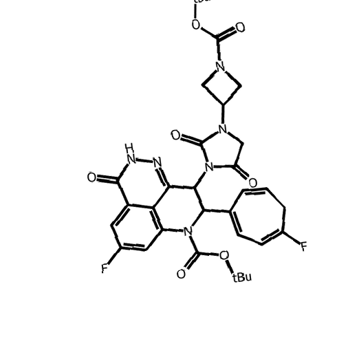 CC(C)(C)OC(=O)N1CC(N2CC(=O)N(C3c4n[nH]c(=O)c5cc(F)cc(c45)N(C(=O)OC(C)(C)C)C3C3=CC=C(F)CC=C3)C2=O)C1